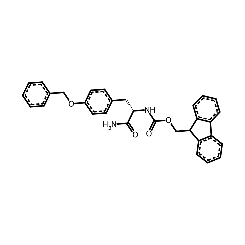 NC(=O)[C@H](Cc1ccc(OCc2ccccc2)cc1)NC(=O)OCC1c2ccccc2-c2ccccc21